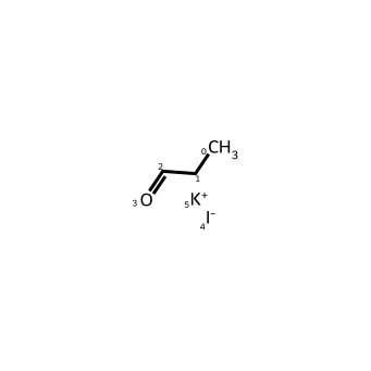 CCC=O.[I-].[K+]